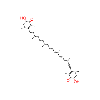 CC1=C(C#C/C(C)=C/C=C/C(C)=C/C=C/C=C(C)/C=C/C=C(C)/C=C/C2=C(C)C(=O)[C@@H](O)CC2(C)C)C(C)(C)C[C@H](O)C1=O